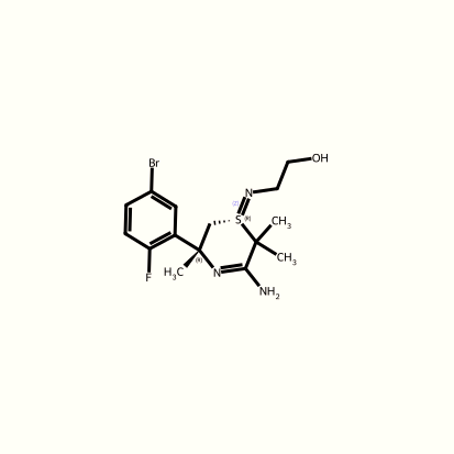 CC1(C)C(N)=N[C@](C)(c2cc(Br)ccc2F)C/[S@@]1=N/CCO